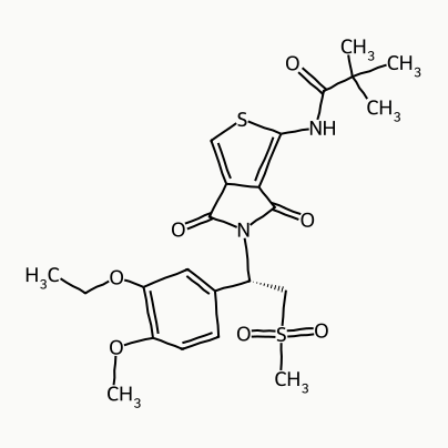 CCOc1cc([C@@H](CS(C)(=O)=O)N2C(=O)c3csc(NC(=O)C(C)(C)C)c3C2=O)ccc1OC